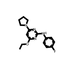 CCOc1cc(N2CCCC2)nc(Nc2ccc(F)cc2)n1